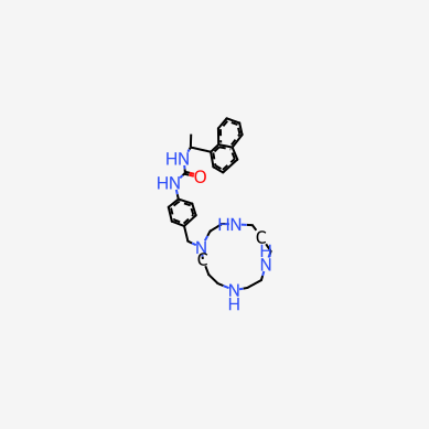 CC(NC(=O)Nc1ccc(CN2CCCNCCNCCCNCC2)cc1)c1cccc2ccccc12